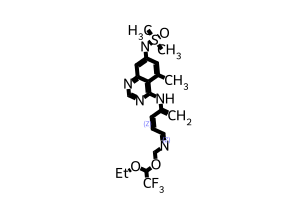 C=C(/C=C\C=N/COC(OCC)C(F)(F)F)Nc1ncnc2cc(N=S(C)(C)=O)cc(C)c12